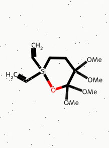 C=C[Si]1(C=C)CCC(OC)(OC)C(OC)(OC)O1